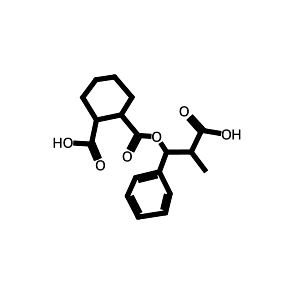 CC(C(=O)O)C(OC(=O)C1CCCCC1C(=O)O)c1ccccc1